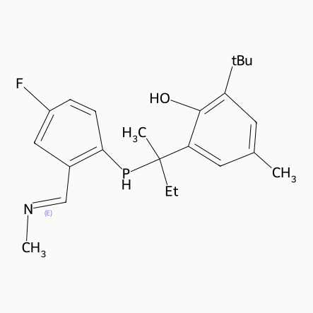 CCC(C)(Pc1ccc(F)cc1/C=N/C)c1cc(C)cc(C(C)(C)C)c1O